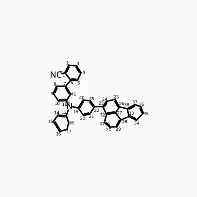 N#Cc1ccccc1-c1cccc(N(C2=CC=CCC2)c2ccc(-c3ccc4c5c(cccc35)-c3ccccc3-4)cc2)c1